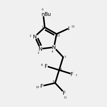 CCCCc1nnn(CC(F)(F)C(F)F)c1I